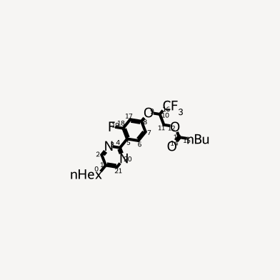 CCCCCCc1cnc(-c2ccc(OC(COC(=O)CCCC)C(F)(F)F)cc2F)nc1